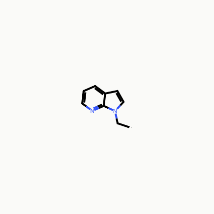 [CH2]Cn1ccc2cccnc21